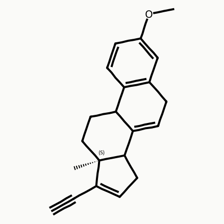 C#CC1=CCC2C3=CCc4cc(OC)ccc4C3CC[C@]12C